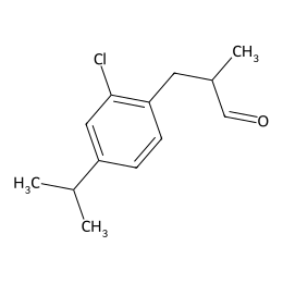 CC(C=O)Cc1ccc(C(C)C)cc1Cl